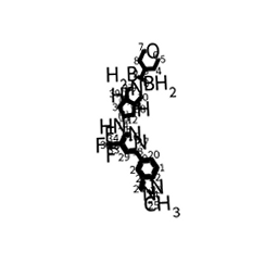 BC(B)(C1CCOCC1)N1C[C@H]2C[C@H](Nc3nnc(-c4ccc5nn(C)cc5c4)cc3C(F)(F)F)C[C@H]2C1